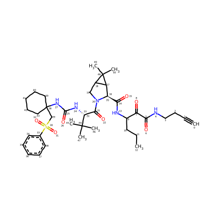 C#CCCNC(=O)C(=O)C(CCC)NC(=O)[C@@H]1C2C(CN1C(=O)[C@@H](NC(=O)NC1(CS(=O)(=O)c3ccccc3)CCCCC1)C(C)(C)C)C2(C)C